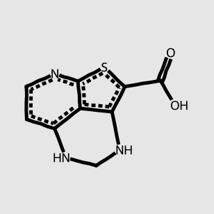 O=C(O)c1sc2nccc3c2c1NCN3